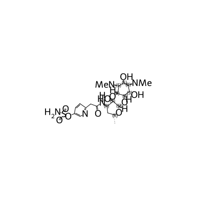 CN[C@@H]1[C@H](O)[C@H](NC)[C@H]2O[C@]3(O)[C@H](O[C@@H]2[C@H]1O)O[C@H](C)C[C@H]3NC(=O)Cc1ccc(OS(N)(=O)=O)cn1